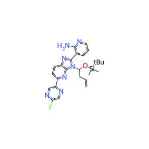 C=CCC(O[Si](C)(C)C(C)(C)C)n1c(-c2cccnc2N)nc2ccc(-c3cnc(F)cn3)nc21